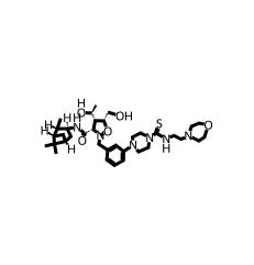 C[C@@H]1[C@@H](NC(=O)[C@@H]2[C@H]([C@H](C)O)[C@H](CO)ON2Cc2cccc(N3CCN(C(=S)NCCN4CCOCC4)CC3)c2)C[C@H]2C[C@@H]1C2(C)C